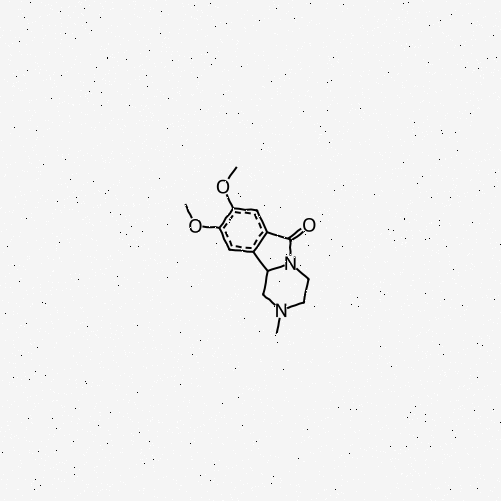 COc1cc2c(cc1OC)C1CN(C)CCN1C2=O